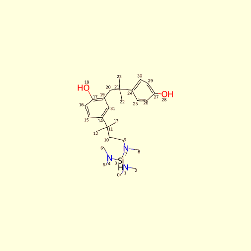 CN(C)[SiH](N(C)C)N(C)CCC(C)(C)c1ccc(O)c(CC(C)(C)c2ccc(O)cc2)c1